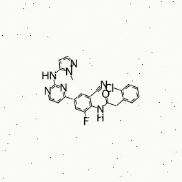 Cn1nccc1Nc1nccc(-c2cc(F)c(NC(=O)Cc3ccccc3Cl)c(C#N)c2)n1